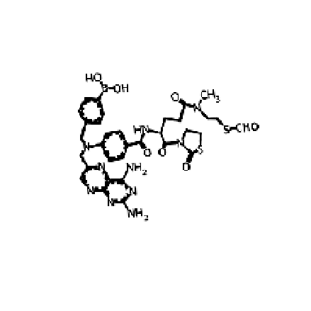 CN(CCSC=O)C(=O)CCC(NC(=O)c1ccc(N(Cc2ccc(B(O)O)cc2)Cc2cnc3nc(N)nc(N)c3n2)cc1)C(=O)N1CCSC1=O